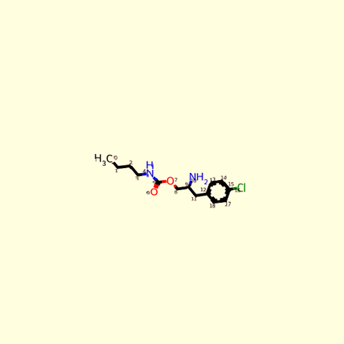 CCCCNC(=O)OCC(N)Cc1ccc(Cl)cc1